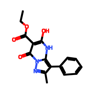 CCOC(=O)c1c(O)[nH]c2c(-c3ccccc3)c(C)nn2c1=O